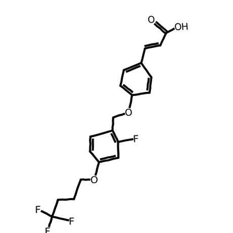 O=C(O)/C=C/c1ccc(OCc2ccc(OCCCC(F)(F)F)cc2F)cc1